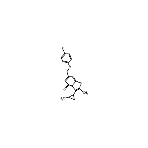 Cc1sc2nc(COc3ccc(F)cc3)cc(=O)n2c1C1CC1C